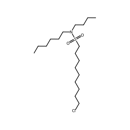 CCCCCCN(CCCC)S(=O)(=O)CCCCCCCCCCl